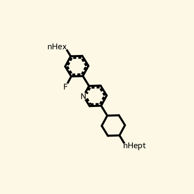 CCCCCCCC1CCC(c2ccc(-c3ccc(CCCCCC)cc3F)nc2)CC1